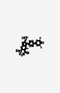 CCOc1cn2nc(C)c(-c3cnc(N4C[C@@H](C)N[C@@H](C)C4)cn3)c2cc1C(N)=O.Cl